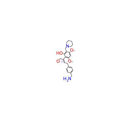 COc1cc(OC)c(/C(C=O)=C\Cc2ccc(CN)cc2)c(O)c1CN1CCCCC1